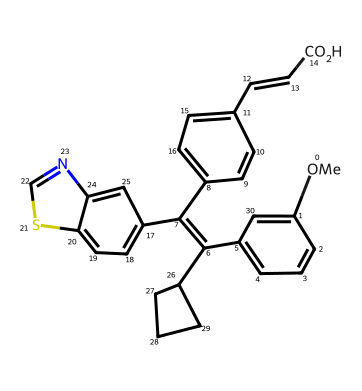 COc1cccc(C(=C(c2ccc(C=CC(=O)O)cc2)c2ccc3scnc3c2)C2CCC2)c1